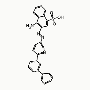 Nc1c(N=Nc2ccc(-c3cccc(-c4ccccc4)c3)nc2)cc(S(=O)(=O)O)c2ccccc12